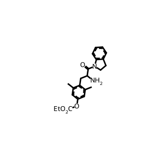 CCOC(=O)Oc1cc(C)c(CC(N)C(=O)N2CCc3ccccc32)c(C)c1